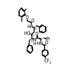 Cc1cccc(C)c1OCC(=O)N[C@@H](Cc1ccccc1)C[C@H](O)[C@H](Cc1ccccc1)NC(=O)[C@H](CC(C)C)NC(=O)c1ccc(C(F)(F)F)cc1